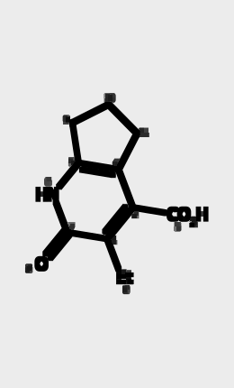 CCc1c(C(=O)O)c2c([nH]c1=O)CCC2